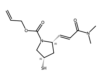 C=CCOC(=O)N1C[C@@H](S)C[C@H]1C=CC(=O)N(C)C